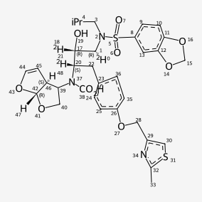 [2H][C@@H](N(CC(C)C)S(=O)(=O)c1ccc2c(c1)OCO2)[C@@]([2H])(O)[C@]([2H])(Cc1ccc(OCc2csc(C)n2)cc1)N(C(=O)O)C1CO[C@@H]2OC=C[C@@H]12